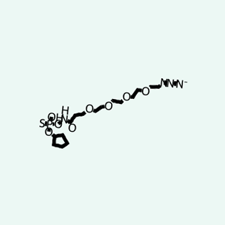 [N-]=[N+]=NCCOCCOCCOCCOCCC(=O)NOP(O)(=S)OC1CCCC1